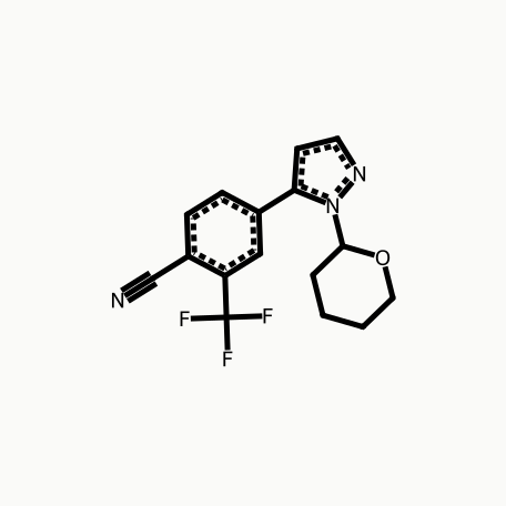 N#Cc1ccc(-c2ccnn2C2CCCCO2)cc1C(F)(F)F